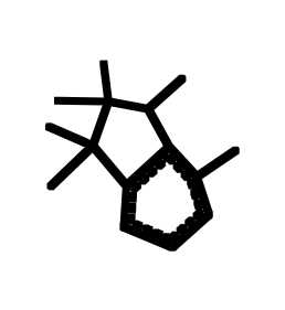 Cc1cccc2c1C(C)C(C)(C)C2(C)C